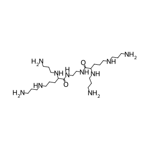 NCCCNCCCC(NCCCN)C(=O)NCCNC(=O)C(CCCNCCCN)NCCCN